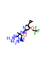 CC(CC1CC1)(NC(=O)c1cc(OCC(F)(F)F)c(C2CC2)cn1)/C(=N/N)NN